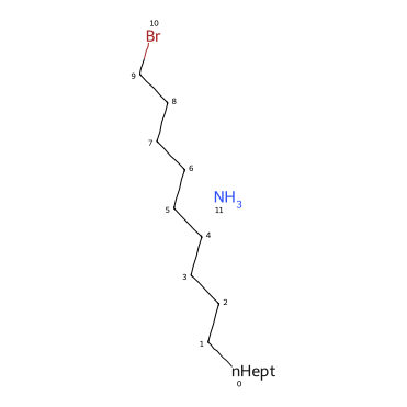 CCCCCCCCCCCCCCCCBr.N